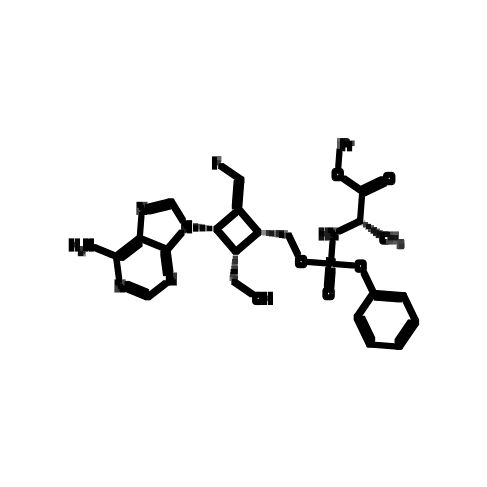 CC(C)OC(=O)[C@H](C)NP(=O)(OC[C@H]1/C(=C/F)[C@@H](n2cnc3c(N)ncnc32)[C@H]1CO)Oc1ccccc1